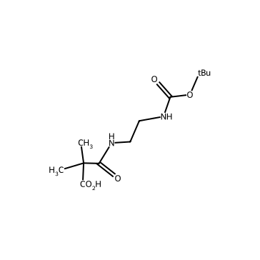 CC(C)(C)OC(=O)NCCNC(=O)C(C)(C)C(=O)O